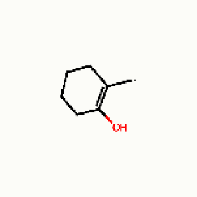 [CH2]C1=C(O)CCCC1